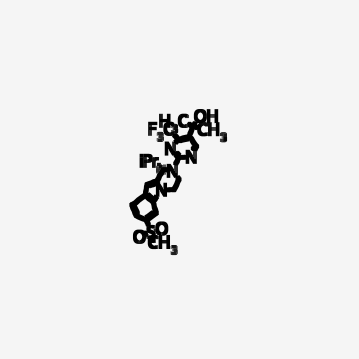 CC(C)[C@H]1c2cc3ccc(S(C)(=O)=O)cc3n2CCN1c1ncc(C(C)(C)O)c(C(F)(F)F)n1